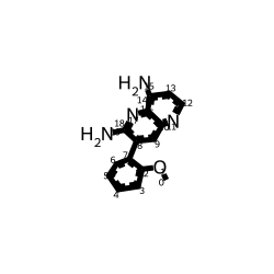 COc1ccccc1-c1cc2nccc(N)c2nc1N